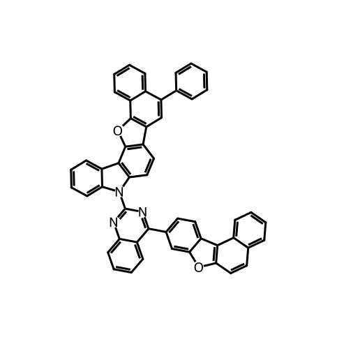 c1ccc(-c2cc3c4ccc5c(c6ccccc6n5-c5nc(-c6ccc7c(c6)oc6ccc8ccccc8c67)c6ccccc6n5)c4oc3c3ccccc23)cc1